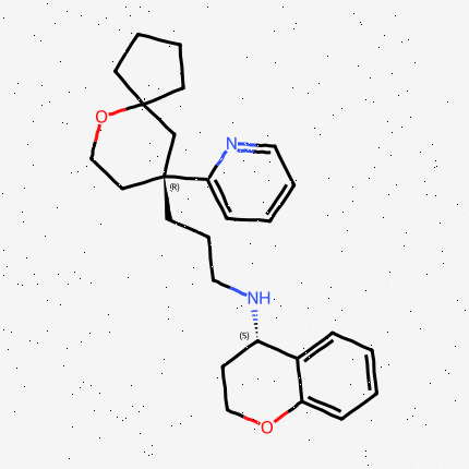 c1ccc([C@]2(CCCN[C@H]3CCOc4ccccc43)CCOC3(CCCC3)C2)nc1